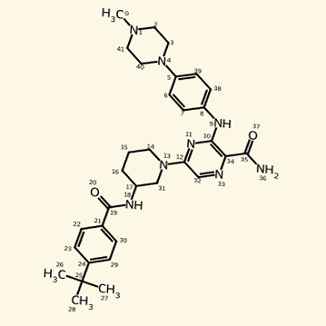 CN1CCN(c2ccc(Nc3nc(N4CCCC(NC(=O)c5ccc(C(C)(C)C)cc5)C4)cnc3C(N)=O)cc2)CC1